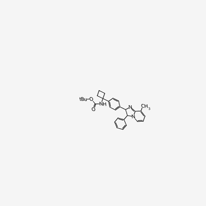 CC1=CC=CN2C1=NC(c1ccc(C3(NC(=O)OC(C)(C)C)CCC3)cc1)C2c1ccccc1